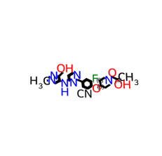 C[C@H](O)C(=O)N1CC[C@H](Oc2ccc(-c3nccc(Nc4cn(C)nc4CO)n3)cc2C#N)[C@H](F)C1